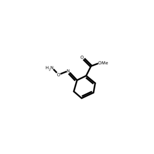 COC(=O)C1=CC=CCC1=NON